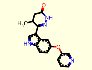 CC1CC(=O)NN=C1c1c[nH]c2ccc(Oc3cccnc3)cc12